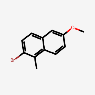 COc1ccc2c(C)c(Br)ccc2c1